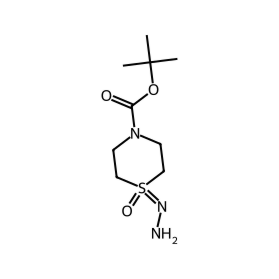 CC(C)(C)OC(=O)N1CCS(=O)(=NN)CC1